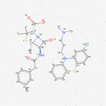 CC1(C)S[C@@H]2[C@H](NC(=O)Cc3ccccc3)C(=O)N2[C@H]1C(=O)[O-].CN(C)CCCN1c2ccccc2Sc2ccc(Cl)cc21.[K+]